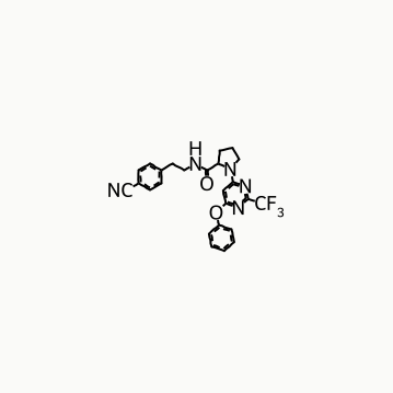 N#Cc1ccc(CCNC(=O)C2CCCN2c2cc(Oc3ccccc3)nc(C(F)(F)F)n2)cc1